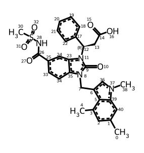 Cc1cc(C)c2c(Cn3c(=O)n([C@H](CC(=O)O)c4ccccc4)c4cc(C(=O)NS(C)(=O)=O)ccc43)cn(C)c2c1